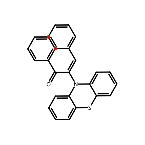 O=C(C(=Cc1ccccc1)N1c2ccccc2Sc2ccccc21)c1ccccc1